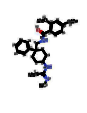 CN/C(=N\C#N)N[C@H]1CC[C@](CNC(=O)c2ccc(OC)cc2OC)(c2ccccc2)CC1